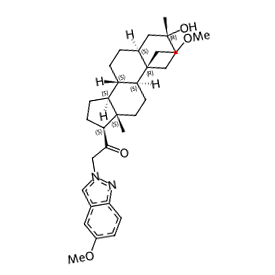 COCC[C@]12CC[C@@](C)(O)C[C@@H]1CC[C@H]1[C@@H]3CC[C@H](C(=O)Cn4cc5cc(OC)ccc5n4)[C@@]3(C)CC[C@@H]12